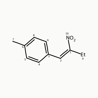 CC/C(=C/c1ccc(C)cc1)[N+](=O)[O-]